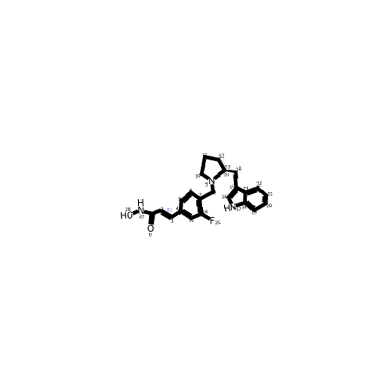 O=C(/C=C/c1ccc(CN2CCC[C@H]2Cc2c[nH]c3ccccc23)c(F)c1)NO